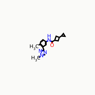 Cc1ccc(NC(=O)C2CC(C3CC3)C2)cc1-c1ncn(C)n1